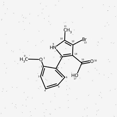 COc1ccccc1-c1[nH]c(C)c(Br)c1C(=O)O